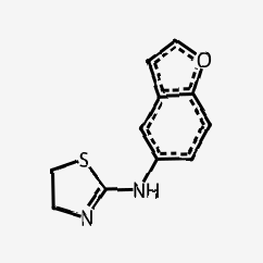 c1cc2cc(NC3=NCCS3)ccc2o1